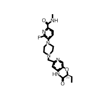 CC[C@@H]1Oc2cnc(CN3CCN(c4ccc(C(=O)NC)nc4F)CC3)cc2NC1=O